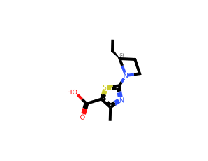 CC[C@H]1CCN1c1nc(C)c(C(=O)O)s1